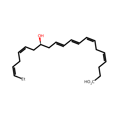 CC/C=C\C/C=C\C[C@@H](O)C/C=C/C=C/C=C\C/C=C\CCC(=O)O